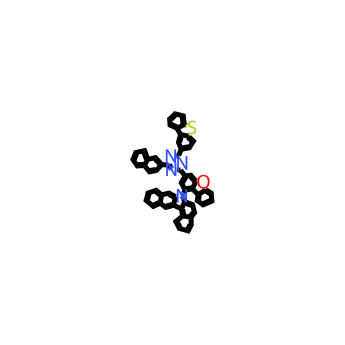 c1ccc2cc(-c3nc(-c4cc(-n5c6cc7ccccc7cc6c6c7ccccc7ccc65)c5c(c4)oc4ccccc45)nc(-c4ccc5sc6ccccc6c5c4)n3)ccc2c1